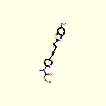 COc1ccc2nc(/C=C/C#Cc3ccc(N(C)C(=O)OC(C)(C)C)nc3)sc2c1